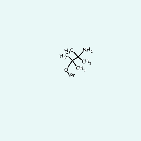 CC(C)OC(C)(C)C(C)(C)N